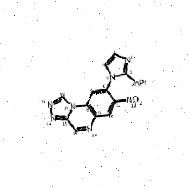 CCCc1nccn1-c1cc2c(cc1[N+](=O)[O-])ncc1nncn12